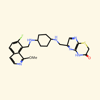 COc1nccc2ccc(F)c(CNC3CCC(NCc4cnc5c(n4)NC(=O)CS5)CC3)c12